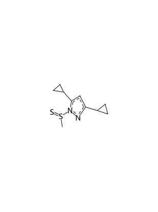 CS(=S)n1nc(C2CC2)cc1C1CC1